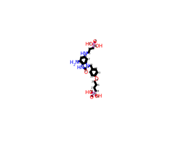 Nc1cc(NCCCP(=O)(O)O)cc2c1[nH]c(=O)n2Cc1ccc(OCCCCP(=O)(O)O)cc1